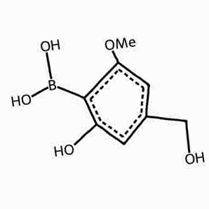 COc1cc(CO)cc(O)c1B(O)O